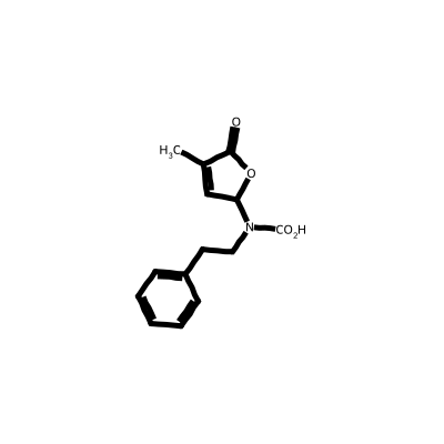 CC1=CC(N(CCc2ccccc2)C(=O)O)OC1=O